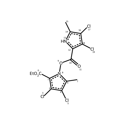 CCOC(=O)c1c(Cl)c(Cl)c(C)n1OC(=O)c1[nH]c(C)c(Cl)c1Cl